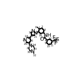 Cc1ccc(NC(=O)c2cccc(C(F)(F)F)c2)cc1-n1cc(-c2cncc(N3CCN(C)CC3)c2)cn1